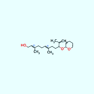 C=C(C)C(CC/C(C)=C/CC/C(C)=C/CO)OC1CCCCO1